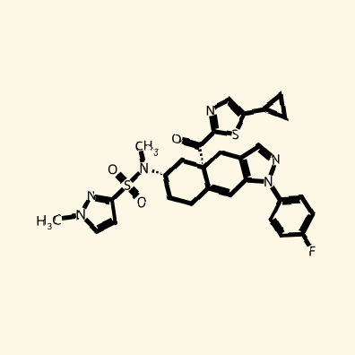 CN([C@H]1CCC2=Cc3c(cnn3-c3ccc(F)cc3)C[C@]2(C(=O)c2ncc(C3CC3)s2)C1)S(=O)(=O)c1ccn(C)n1